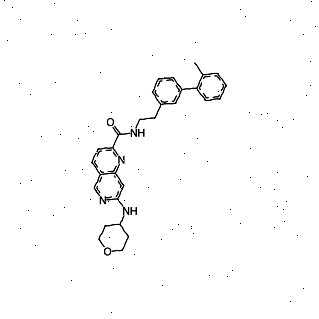 Cc1ccccc1-c1cccc(CCNC(=O)c2ccc3cnc(NC4CCOCC4)cc3n2)c1